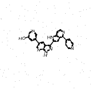 Oc1cncc(-c2cnc3[nH]nc(-c4cc5c(-c6ccncc6)nccc5[nH]4)c3c2)c1